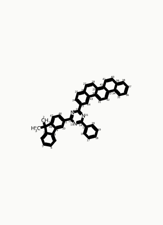 CC1(C)c2ccccc2-c2cc(-c3nc(-c4ccccc4)nc(-c4ccc5ccc6c(ccc7c8ccccc8ccc76)c5c4)n3)ccc21